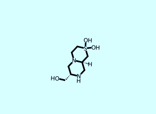 OC[C@@H]1CN2CCS(O)(O)C[C@H]2CN1